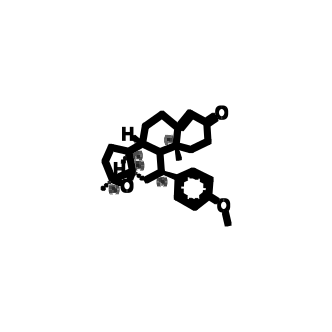 COc1ccc([C@H]2C[C@]34O[C@@]3(C)CC[C@H]4[C@@H]3CCC4=CC(=O)CC[C@]4(C)C23)cc1